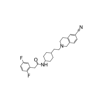 N#Cc1ccc2c(c1)CCN(CCC1CCC(NC(=O)Cc3cc(F)ccc3F)CC1)C2